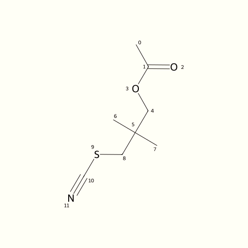 CC(=O)OCC(C)(C)CSC#N